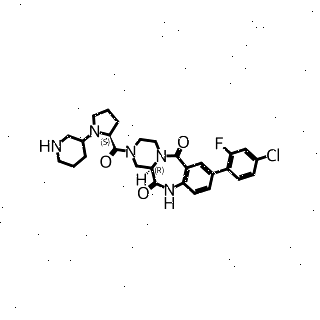 O=C1Nc2ccc(-c3ccc(Cl)cc3F)cc2C(=O)N2CCN(C(=O)[C@@H]3CCCN3C3CCCNC3)C[C@H]12